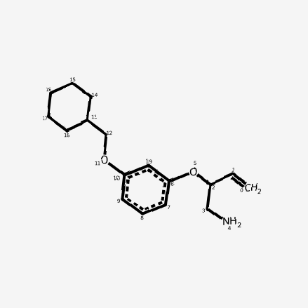 C=CC(CN)Oc1cccc(OCC2CCCCC2)c1